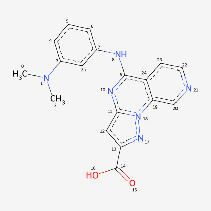 CN(C)c1cccc(Nc2nc3cc(C(=O)O)nn3c3cnccc23)c1